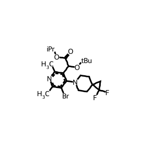 Cc1nc(C)c(C(OC(C)(C)C)C(=O)OC(C)C)c(N2CCC3(CC2)CC3(F)F)c1Br